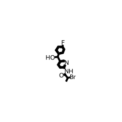 CC(Br)C(=O)Nc1ccc(C(O)c2ccc(F)cc2)cn1